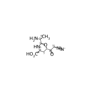 C[C@H](N)C(=O)N[C@@H](CCC(=O)C=[N+]=[N-])C(=O)O